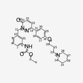 CCOC(=O)Nc1cccc(Cn2nc(-c3ccc(OCCCN4CCCCC4)cc3)ccc2=O)c1